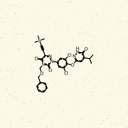 CC(C)c1cc(Oc2c(Cl)cc(-n3nc(C#C[Si](C)(C)C)c(=O)n(COCc4ccccc4)c3=O)cc2Cl)n[nH]c1=O